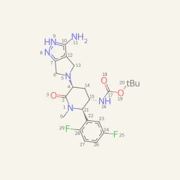 CN1C(=O)[C@@H](N2Cc3n[nH]c(N)c3C2)C[C@H](NC(=O)OC(C)(C)C)[C@H]1c1cc(F)ccc1F